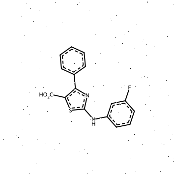 O=C(O)c1sc(Nc2cccc(F)c2)nc1-c1ccccc1